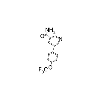 NC(=O)c1cncc(-c2ccc(OC(F)(F)F)cc2)c1